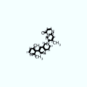 Cc1cc2nccc(=O)n2nc1N1CCc2ncc(-c3c(C)ccnc3C)cc2C1